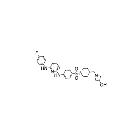 O=S(=O)(c1ccc(Nc2nccc(Nc3ccc(F)cc3)n2)cc1)N1CCC(CN2CC(O)C2)CC1